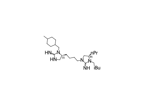 CCC[C@@H]1CN(CCCC[C@H]2CNC(=N)N2CC2CCC(C)CC2)C(=N)N1CC(C)CC